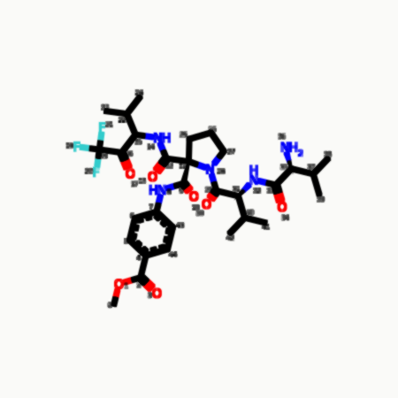 COC(=O)c1ccc(NC(=O)[C@@]2(C(=O)NC(C(=O)C(F)(F)F)C(C)C)CCCN2C(=O)[C@@H](NC(=O)[C@@H](N)C(C)C)C(C)C)cc1